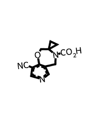 N#Cc1cncc2c1OCC1(CC1)N(C(=O)O)C2